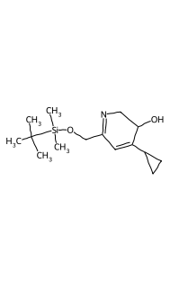 CC(C)(C)[Si](C)(C)OCC1=NCC(O)C(C2CC2)=C1